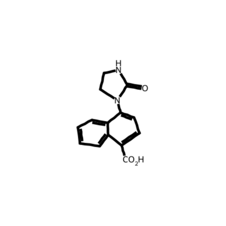 O=C(O)c1ccc(N2CCNC2=O)c2ccccc12